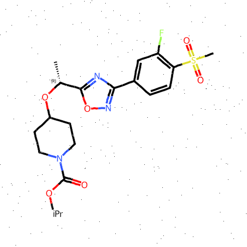 CC(C)OC(=O)N1CCC(O[C@H](C)c2nc(-c3ccc(S(C)(=O)=O)c(F)c3)no2)CC1